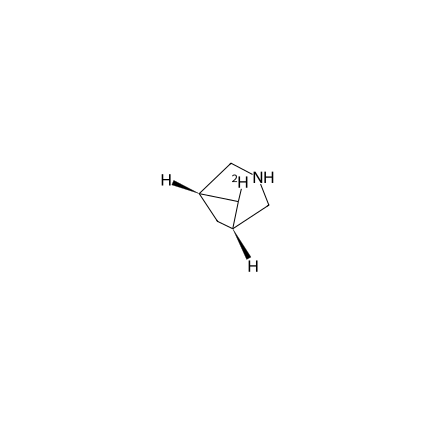 [2H]C1[C@@H]2CNC[C@H]1C2